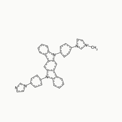 C[n+]1ccn(-c2ccc(-n3c4ccccc4c4cc5c(cc43)c3ccccc3n5-c3ccc(-n4ccnc4)cc3)cc2)c1